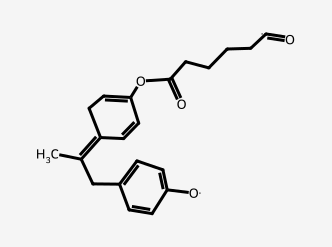 CC(Cc1ccc([O])cc1)=C1C=CC(OC(=O)CCCC[C]=O)=CC1